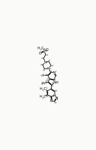 Cc1c(-c2[nH]c3cnc(N4CCN(CCS(C)(=O)=O)CC4)c(F)c3c2C(C)C)cn2ncnc2c1C